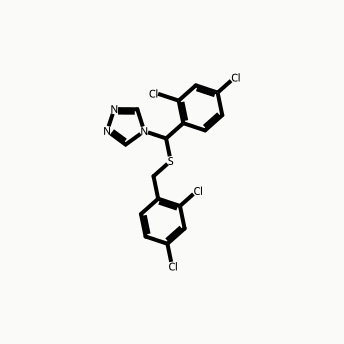 Clc1ccc(CSC(c2ccc(Cl)cc2Cl)n2cnnc2)c(Cl)c1